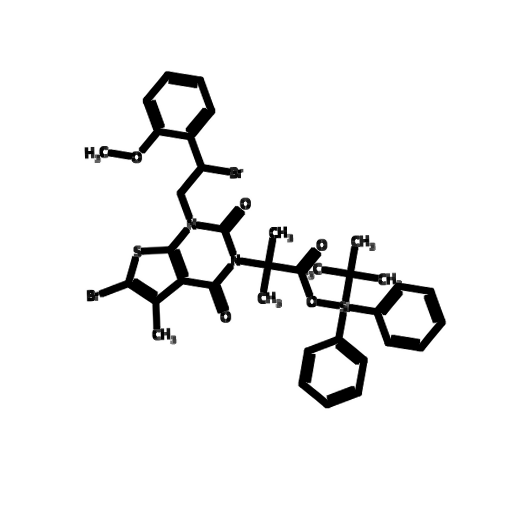 COc1ccccc1C(Br)Cn1c(=O)n(C(C)(C)C(=O)O[Si](c2ccccc2)(c2ccccc2)C(C)(C)C)c(=O)c2c(C)c(Br)sc21